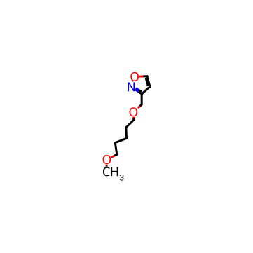 COCCCCCOCc1ccon1